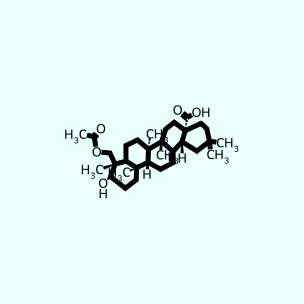 CC(=O)OC[C@]1(C)C2CC[C@]3(C)[C@H](CC=C4[C@H]5CC(C)(C)CC[C@]5(C(=O)O)CC[C@]43C)[C@@]2(C)CC[C@@H]1O